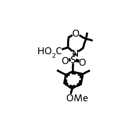 COc1cc(C)c(S(=O)(=O)N2CC(C)(C)OCC2C(=O)O)c(C)c1